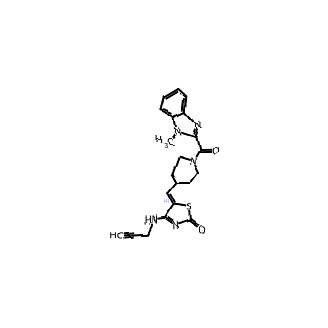 C#CCNC1=NC(=O)S/C1=C\C1CCN(C(=O)c2nc3ccccc3n2C)CC1